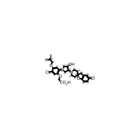 O=C(O)COc1cc(Cl)c(OCC(F)F)cc1N1CC(O)C(N2CCC3(CC2)Cc2cc(Cl)ccc2O3)C1